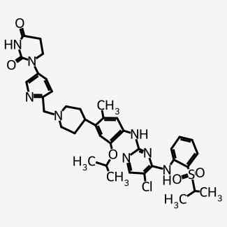 Cc1cc(Nc2ncc(Cl)c(Nc3ccccc3S(=O)(=O)C(C)C)n2)c(OC(C)C)cc1C1CCN(Cc2ccc(N3CCC(=O)NC3=O)cn2)CC1